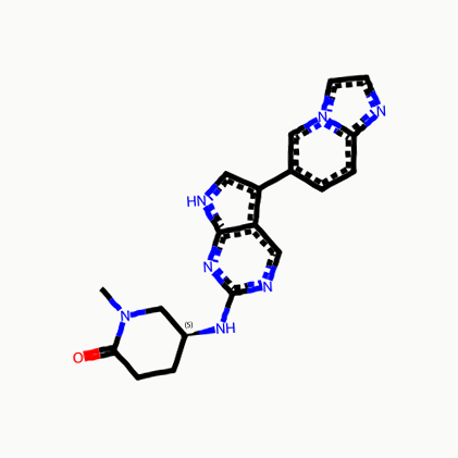 CN1C[C@@H](Nc2ncc3c(-c4ccc5nccn5c4)c[nH]c3n2)CCC1=O